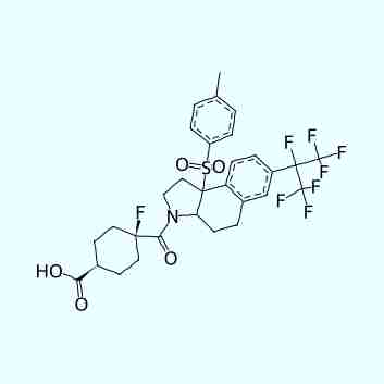 Cc1ccc(S(=O)(=O)C23CCN(C(=O)[C@]4(F)CC[C@@H](C(=O)O)CC4)C2CCc2cc(C(F)(C(F)(F)F)C(F)(F)F)ccc23)cc1